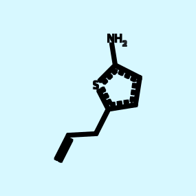 C=CCc1ccc(N)s1